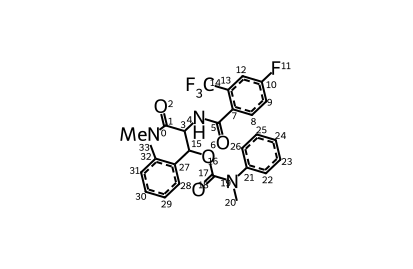 CNC(=O)C(NC(=O)c1ccc(F)cc1C(F)(F)F)C(OC(=O)N(C)c1ccccc1)c1ccccc1C